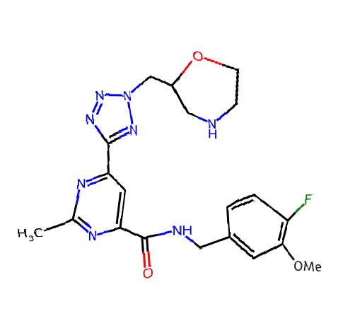 COc1cc(CNC(=O)c2cc(-c3nnn(CC4CNCCO4)n3)nc(C)n2)ccc1F